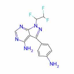 Nc1ccc(-c2nn(C(F)C(F)F)c3ncnc(N)c23)cc1